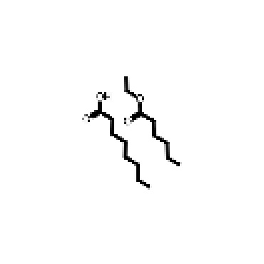 CCCCCC(=O)OCC.CCCCCCCC(=O)O